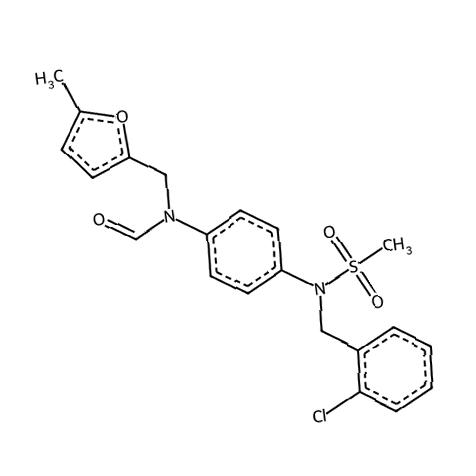 Cc1ccc(CN(C=O)c2ccc(N(Cc3ccccc3Cl)S(C)(=O)=O)cc2)o1